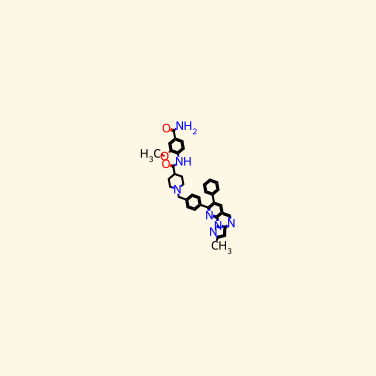 COc1cc(C(N)=O)ccc1NC(=O)C1CCN(Cc2ccc(-c3nc4c(cnc5cc(C)nn54)cc3-c3ccccc3)cc2)CC1